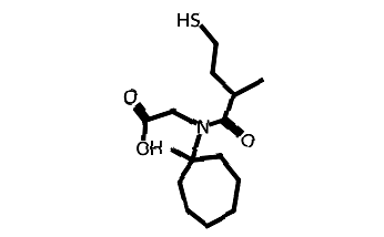 CC(CCS)C(=O)N(CC(=O)O)C1(C)CCCCCC1